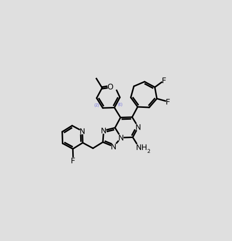 C/C=C(\C=C/C(C)=O)c1c(C2=CCC=C(F)C(F)=C2)nc(N)n2nc(Cc3ncccc3F)nc12